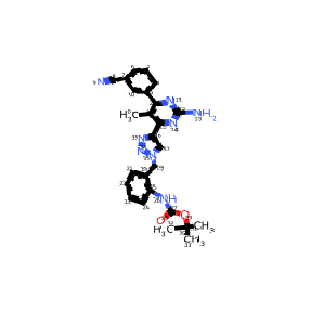 Cc1c(-c2cccc(C#N)c2)nc(N)nc1-c1cn(Cc2ccccc2NC(=O)OC(C)(C)C)nn1